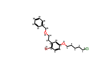 ClCCCCCOc1ccc(Br)c(CCOCc2ccccc2)c1